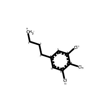 [CH2]CCCc1cc(Cl)c(Cl)c(Cl)c1